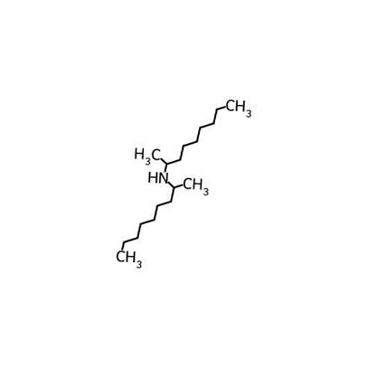 CCCCCCCC(C)NC(C)CCCCCCC